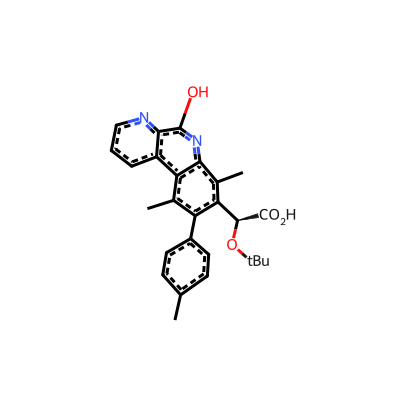 Cc1ccc(-c2c([C@H](OC(C)(C)C)C(=O)O)c(C)c3nc(O)c4ncccc4c3c2C)cc1